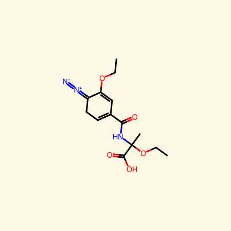 CCOC1=CC(C(=O)NC(C)(OCC)C(=O)O)=CCC1=[N+]=[N-]